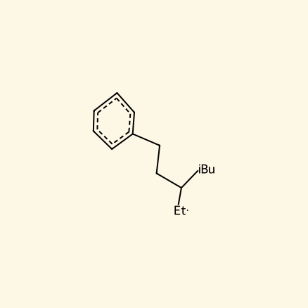 C[CH]C(CCc1ccccc1)C(C)CC